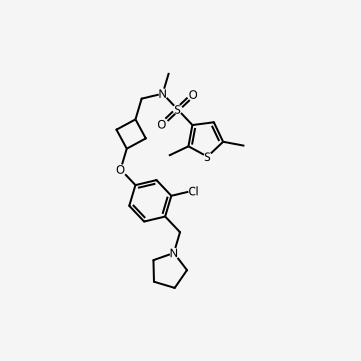 Cc1cc(S(=O)(=O)N(C)CC2CC(Oc3ccc(CN4CCCC4)c(Cl)c3)C2)c(C)s1